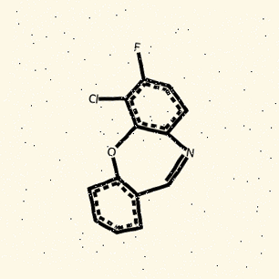 Fc1ccc2c(c1Cl)Oc1ccccc1C=N2